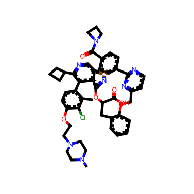 Cc1c(-c2c(C3CCC3)ncc3snc(OC(Cc4ccccc4OCc4ccnc(-c5ccc(C(=O)N6CCC6)cc5)n4)C(=O)O)c23)ccc(OCCN2CCN(C)CC2)c1Cl